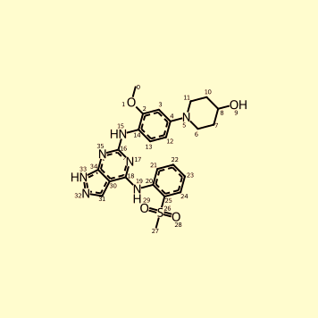 COc1cc(N2CCC(O)CC2)ccc1Nc1nc(Nc2ccccc2S(C)(=O)=O)c2cn[nH]c2n1